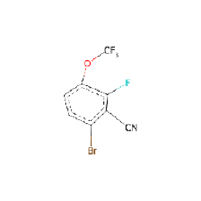 N#Cc1c(Br)ccc(OC(F)(F)F)c1F